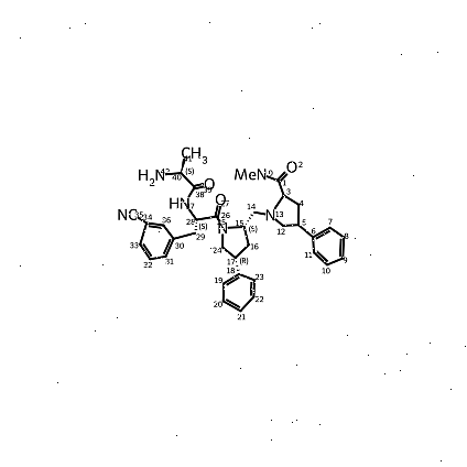 CNC(=O)C1CC(c2ccccc2)CN1C[C@@H]1C[C@H](c2ccccc2)CN1C(=O)[C@H](Cc1cccc(C#N)c1)NC(=O)[C@H](C)N